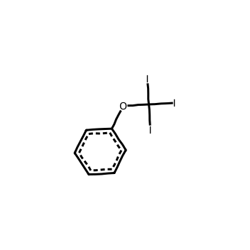 IC(I)(I)Oc1ccccc1